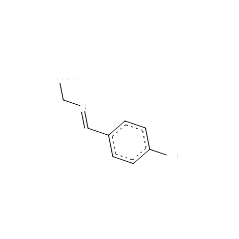 CCOC(=O)C/N=C/c1ccc(C)cc1